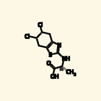 C[C@@H](Nc1nc2c(s1)CC(Cl)C(Cl)C2)C(=O)O